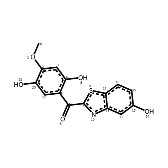 COc1cc(O)c(C(=O)c2nc3cc(O)ccc3s2)cc1O